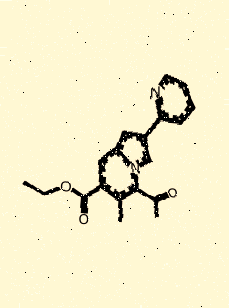 CCOC(=O)c1cc2cc(-c3ccccn3)cn2c(C(C)=O)c1C